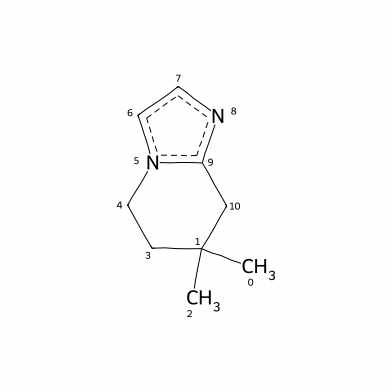 CC1(C)CCn2ccnc2C1